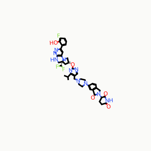 CC(C)c1nc(O[C@H]2CN3c4cc(-c5cccc(F)c5O)nnc4NC[C@]3(C(F)F)C2)ncc1CN1CCN(c2ccc3c(c2)C(=O)N(C2CCC(=O)NC2=O)C3)CC1